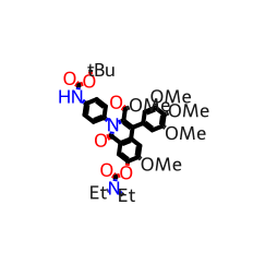 CCN(CC)C(=O)Oc1cc2c(=O)n(-c3ccc(NC(=O)OC(C)(C)C)cc3)c(C(=O)OC)c(-c3cc(OC)c(OC)c(OC)c3)c2cc1OC